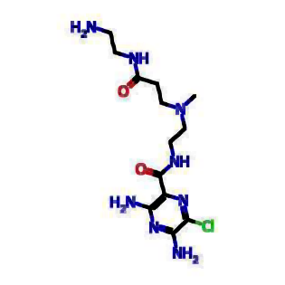 CN(CCNC(=O)c1nc(Cl)c(N)nc1N)CCC(=O)NCCN